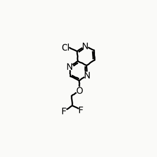 FC(F)COc1cnc2c(Cl)nccc2n1